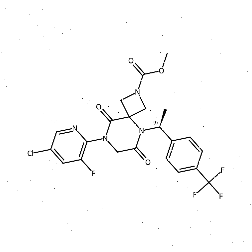 COC(=O)N1CC2(C1)C(=O)N(c1ncc(Cl)cc1F)CC(=O)N2[C@@H](C)c1ccc(C(F)(F)F)cc1